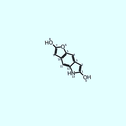 Oc1cc2cc3oc(O)cc3cc2[nH]1